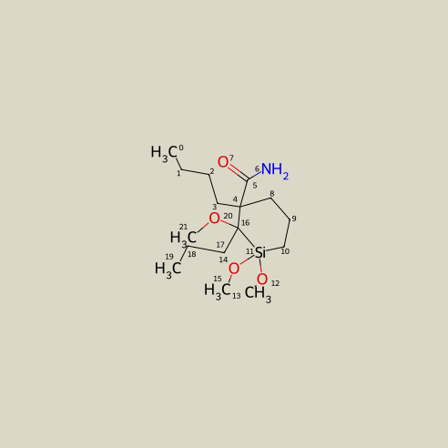 CCCCC1(C(N)=O)CCC[Si](OC)(OC)C1(CCC)OC